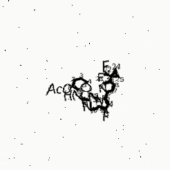 CC(=O)OC1CCCOC1Nc1ncc2c(F)cc(-c3ccc(C4(C(F)F)CC4)cn3)n2n1